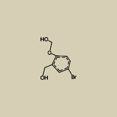 OCOc1ccc(Br)cc1CO